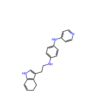 C1=Cc2[nH]cc(CCNc3ccc(Nc4ccncc4)cc3)c2CC1